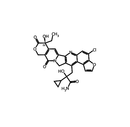 CC[C@@]1(O)C(=O)OCc2c1cc1n(c2=O)Cc2c-1nc1cc(Cl)c3occc3c1c2CC(O)(C(N)=O)C1CC1